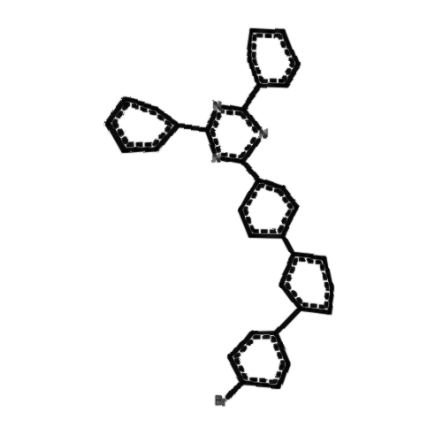 Brc1ccc(-c2cccc(-c3ccc(-c4nc(-c5ccccc5)nc(-c5ccccc5)n4)cc3)c2)cc1